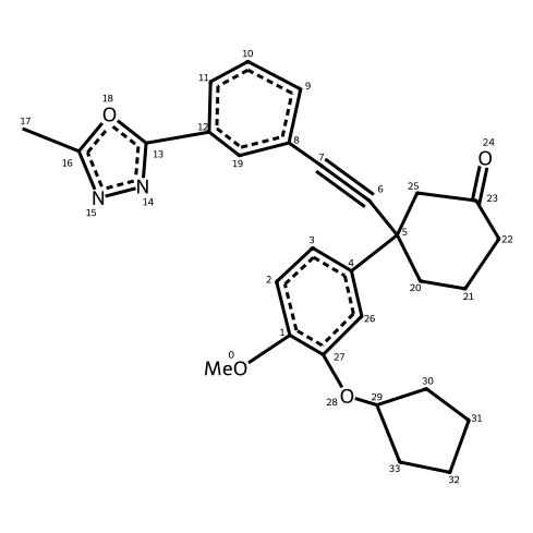 COc1ccc(C2(C#Cc3cccc(-c4nnc(C)o4)c3)CCCC(=O)C2)cc1OC1CCCC1